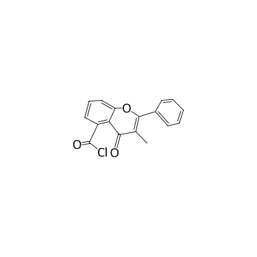 Cc1c(-c2ccccc2)oc2cccc(C(=O)Cl)c2c1=O